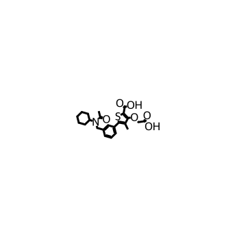 CC(=O)N(Cc1cccc(-c2sc(C(=O)O)c(OCC(=O)O)c2C)c1)C1CCCCC1